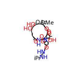 CO[C@H]1/C=C/O[C@@]2(C)Oc3c(C)c(O)c4c(=O)c(c5oc6cc(OCCNCCNC(C)C)ccc6nc-5c4c3C2=O)NC(=O)/C(C)=C\C=C\[C@H](C)[C@H](O)[C@@H](C)[C@@H](O)[C@@H](C)[C@H](OC(C)=O)[C@@H]1C